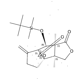 C=C1CC[C@@]23OC(=O)C[C@@]12[C@@H](O[Si](C)(C)C(C)(C)C)[C@@]1(C)C(=O)OC[C@@]31C